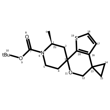 C[C@H]1CC2(CCN1C(=O)OC(C)(C)C)OCC1(CC1)c1ccsc12